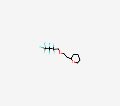 FC(F)(F)C(F)(F)C(F)(F)COCCC1CCCCO1